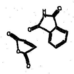 O=C1C=CC(=O)O1.O=C1NC(=O)c2ccccc21